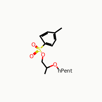 CCCCCOC(C)COS(=O)(=O)c1ccc(C)cc1